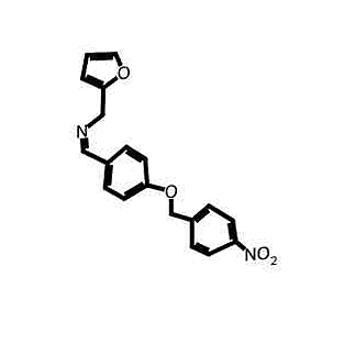 O=[N+]([O-])c1ccc(COc2ccc(/C=N\Cc3ccco3)cc2)cc1